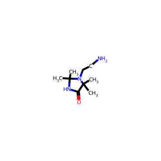 CC1(C)NC(=O)C(C)(C)N1CCN